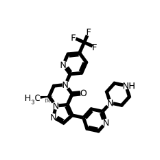 C[C@H]1CN(c2ccc(C(F)(F)F)cn2)C(=O)c2c(-c3ccnc(N4CCNCC4)c3)cnn21